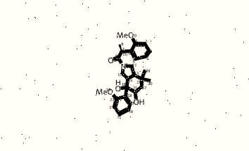 COc1ccccc1[C@H](C)C(=O)N1CC2C(C1)C(O)(c1ccccc1OC)C(O)CC2(C)C